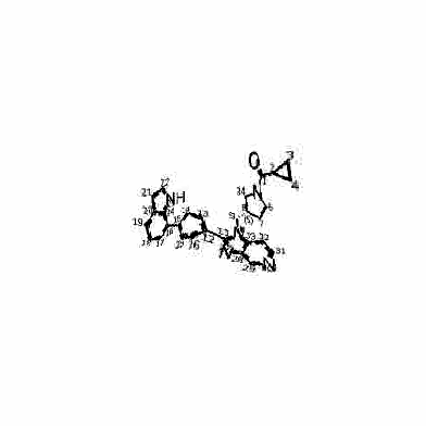 O=C(C1CC1)N1CC[C@H](Cn2c(-c3ccc(-c4cccc5cc[nH]c45)cc3)nc3cnccc32)C1